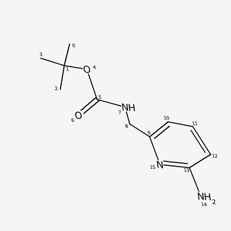 CC(C)(C)OC(=O)NCc1cccc(N)n1